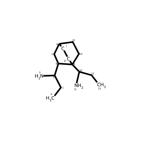 CCC(N)C1CC2CCC1(C(N)CC)CC2